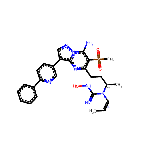 C/C=C\N(C(=N)NO)[C@H](C)CCc1nc2c(-c3ccc(-c4ccccc4)nc3)cnn2c(N)c1S(C)(=O)=O